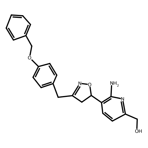 Nc1nc(CO)ccc1C1CC(Cc2ccc(OCc3ccccc3)cc2)=NO1